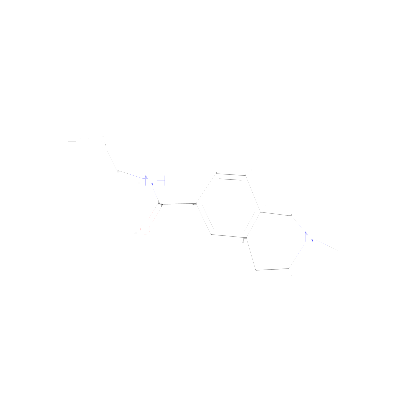 CN1CCc2cc(C(=O)NCS(=O)(=O)O)ccc2C1